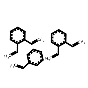 C=Cc1ccccc1.C=Cc1ccccc1C=C.C=Cc1ccccc1C=C